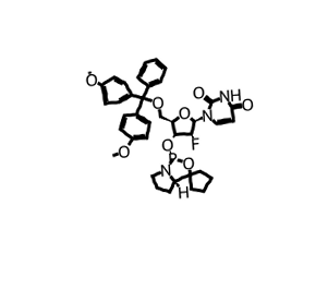 COc1ccc(C(OC[C@H]2O[C@@H](n3ccc(=O)[nH]c3=O)[C@H](F)[C@@H]2O[P@]2OC3(CCCC3)[C@@H]3CCCN32)(c2ccccc2)c2ccc(OC)cc2)cc1